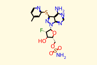 Cc1ccnc(Sc2nn([C@@H]3O[C@H](COS(N)(=O)=O)[C@@H](O)[C@@H]3F)c3ncnc(N)c23)c1